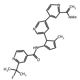 C=C(NC)c1cc(-c2cncc(C3C(C)=CC=C3NC(=O)c3ccnc(C(C)(C)F)c3)c2)ccn1